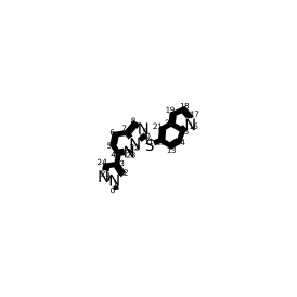 Cn1cc(-c2ccc3cnc(Sc4ccc5ncccc5c4)n3n2)cn1